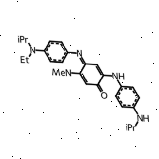 CCN(c1ccc(/N=C2/C=C(Nc3ccc(NC(C)C)cc3)C(=O)C=C2NC)cc1)C(C)C